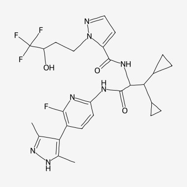 Cc1n[nH]c(C)c1-c1ccc(NC(=O)C(NC(=O)c2ccnn2CCC(O)C(F)(F)F)C(C2CC2)C2CC2)nc1F